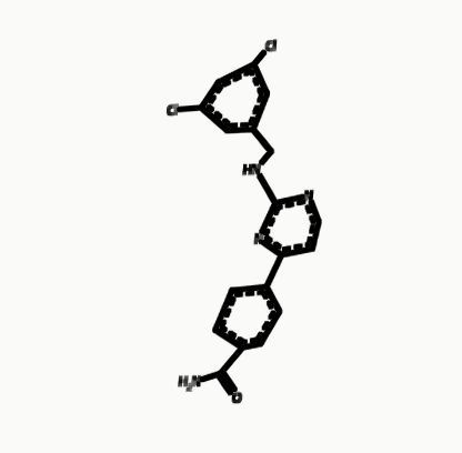 NC(=O)c1ccc(-c2ccnc(NCc3cc(Cl)cc(Cl)c3)n2)cc1